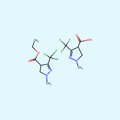 CCOC(=O)C1CN(C)N=C1C(F)(F)F.CN1CC(C(=O)O)C(C(F)(F)F)=N1